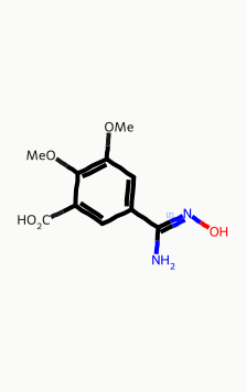 COc1cc(/C(N)=N/O)cc(C(=O)O)c1OC